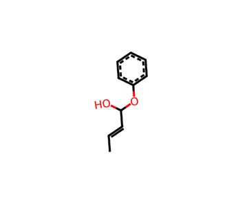 CC=CC(O)Oc1ccccc1